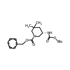 CC1(C)C[C@H](NC(=O)OC(C)(C)C)CN(C(=O)OCc2ccccc2)C1